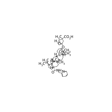 C=C(C)[C@@H]1CC[C@]2(C(=O)NCc3ccccn3)CC[C@]3(C)[C@H](CC[C@@H]4[C@@]5(C)CC[C@H](OC(=O)CC(C)(C)C(=O)O)C(C)(C)[C@@H]5CC[C@]43C)[C@@H]12